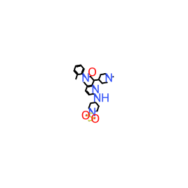 Cc1ccccc1N1Cc2ccc(NC3CCN(S(C)(=O)=O)CC3)nc2C(C2CCN(C)CC2)C1=O